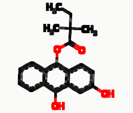 CCC(C)(C)C(=O)Oc1c2ccccc2c(O)c2cc(O)ccc12